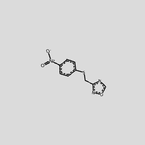 O=[N+]([O-])c1ccc(SCc2ncon2)cc1